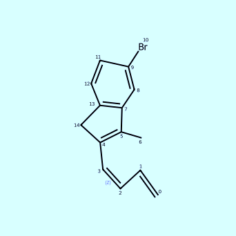 C=C/C=C\C1=C(C)c2cc(Br)ccc2C1